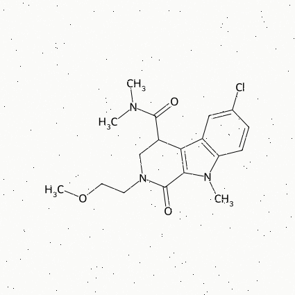 COCCN1CC(C(=O)N(C)C)c2c(n(C)c3ccc(Cl)cc23)C1=O